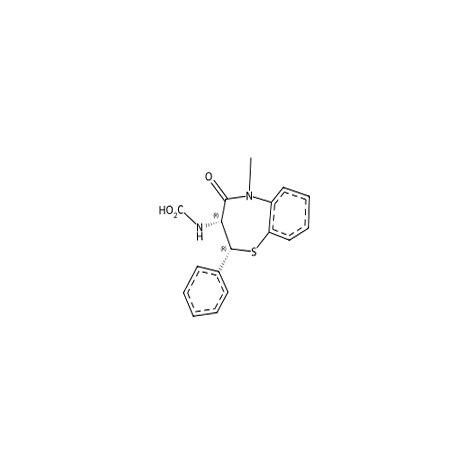 CN1C(=O)[C@@H](NC(=O)O)[C@@H](c2ccccc2)Sc2ccccc21